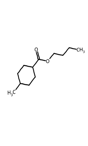 CCCCOC(=O)C1CCC(C)CC1